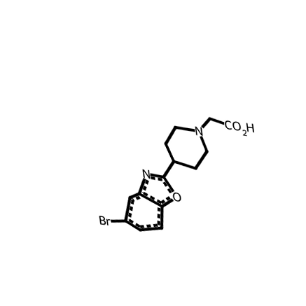 O=C(O)CN1CCC(c2nc3cc(Br)ccc3o2)CC1